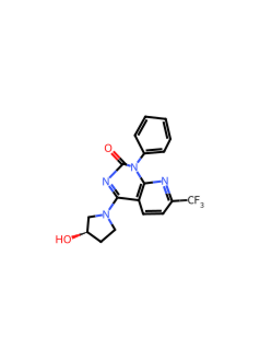 O=c1nc(N2CC[C@@H](O)C2)c2ccc(C(F)(F)F)nc2n1-c1ccccc1